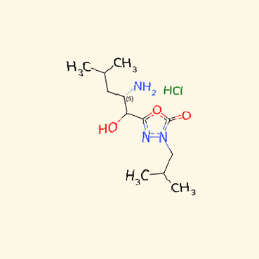 CC(C)C[C@H](N)C(O)c1nn(CC(C)C)c(=O)o1.Cl